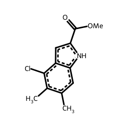 COC(=O)c1cc2c(Cl)c(C)c(C)cc2[nH]1